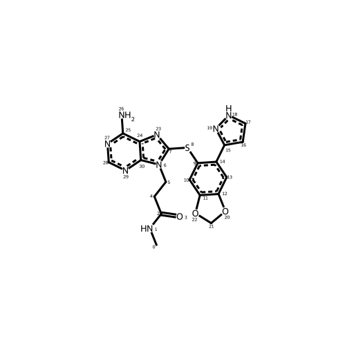 CNC(=O)CCn1c(Sc2cc3c(cc2-c2cc[nH]n2)OCO3)nc2c(N)ncnc21